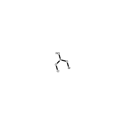 OP(OCl)OBr